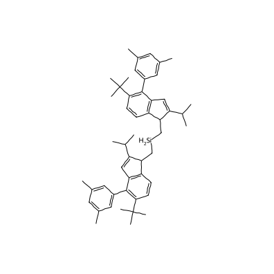 Cc1cc(C)cc(-c2c(C(C)(C)C)ccc3c2C=C(C(C)C)C3C[SiH2]CC2C(C(C)C)=Cc3c2ccc(C(C)(C)C)c3-c2cc(C)cc(C)c2)c1